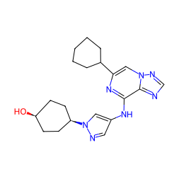 O[C@H]1CC[C@@H](n2cc(Nc3nc(C4CCCCC4)cn4ncnc34)cn2)CC1